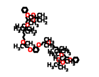 C=C(C)C(=O)OC(C)(C)C(COc1ccccc1)COC(C)(C)C(C)(C)CCCCOC(C)(C)CCOc1cccc(OCCC(C)(C)OCCCCC(C)(C)C(C)(C)OCC(COc2ccccc2)C(C)(C)OC(=O)C(=C)C)c1